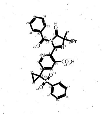 CC(C)C1(C)N=C(c2ncc(C3(S(=O)(=O)c4ccccc4)CC3)cc2C(=O)O)N(C(=O)c2ccccc2)C1=O